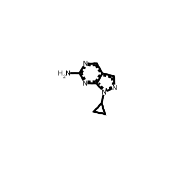 Nc1ncc2cnn(C3CC3)c2n1